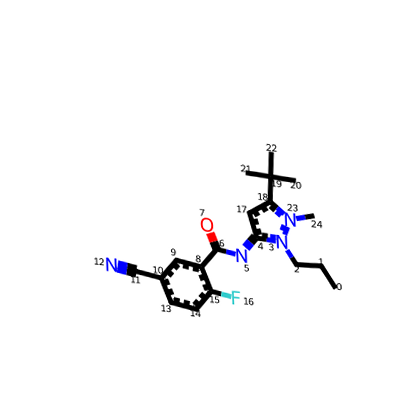 CCCn1/c(=N/C(=O)c2cc(C#N)ccc2F)cc(C(C)(C)C)n1C